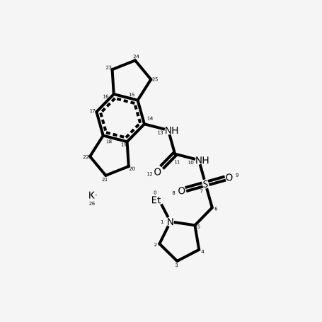 CCN1CCCC1CS(=O)(=O)NC(=O)Nc1c2c(cc3c1CCC3)CCC2.[K]